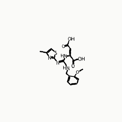 COc1ccccc1CNC(=Nc1nc(C)cs1)N/C(=C\C(=O)O)C(=O)O